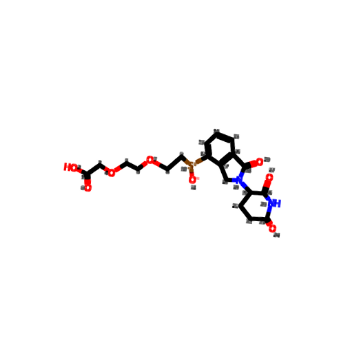 O=C(O)COCCOCC[S+]([O-])c1cccc2c1CN(C1CCC(=O)NC1=O)C2=O